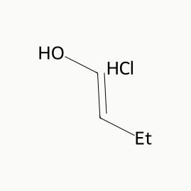 CCC=CO.Cl